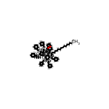 CCCCCCCCCCCCCCCC(=O)O[C@@H]1C(OCc2ccccc2)C(OCc2ccccc2)[C@@H](OCc2ccccc2)[C@H](O[C@H]2OC(COCc3ccccc3)[C@@H](OCc3ccccc3)[C@H](OCc3ccccc3)C2N=[N+]=[N-])C1OP(=O)(OCc1ccccc1)OCc1ccccc1